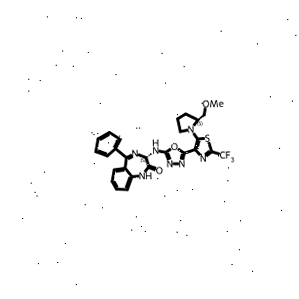 COC[C@@H]1CCCN1c1sc(C(F)(F)F)nc1-c1nnc(N[C@H]2N=C(c3ccccc3)c3ccccc3NC2=O)o1